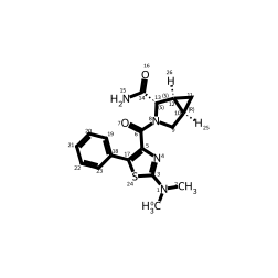 CN(C)c1nc(C(=O)N2C[C@@H]3C[C@@H]3[C@H]2C(N)=O)c(-c2ccccc2)s1